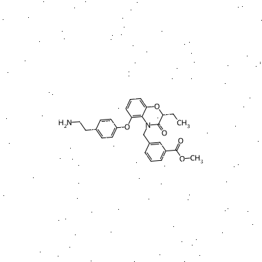 CCC1Oc2cccc(Oc3ccc(CCN)cc3)c2N(Cc2cccc(C(=O)OC)c2)C1=O